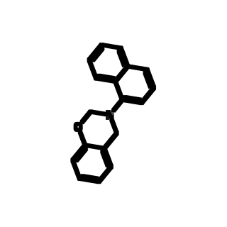 c1ccc2c(c1)CN(c1cccc3ccccc13)CO2